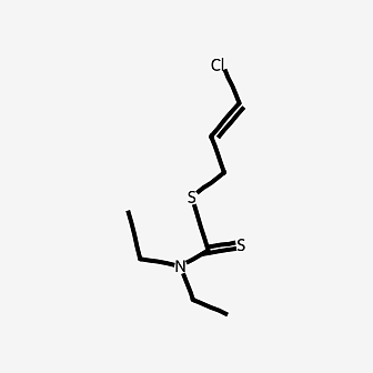 CCN(CC)C(=S)SCC=CCl